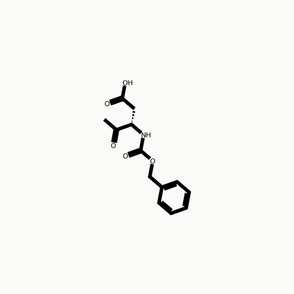 CC(=O)[C@H](CC(=O)O)NC(=O)OCc1ccccc1